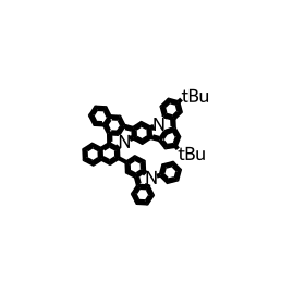 CC(C)(C)c1ccc2c(c1)c1cc(C(C)(C)C)cc3c4cc5c(cc4n2c13)c1cc2ccccc2c2c3c4ccccc4cc(-c4ccc6c(c4)c4ccccc4n6-c4ccccc4)c3n5c12